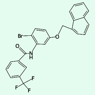 O=C(Nc1cc(OCc2cccc3ccccc23)ccc1Br)c1cccc(C(F)(F)F)c1